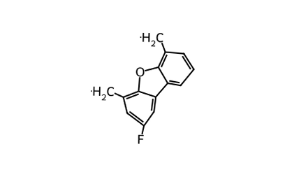 [CH2]c1cccc2c1oc1c([CH2])cc(F)cc12